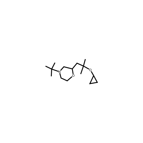 CC(C)(CC1CN(C(C)(C)C)CCO1)OC1CC1